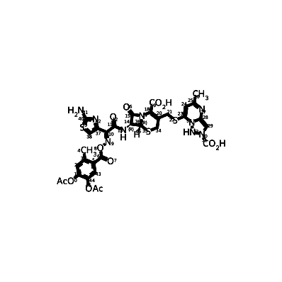 CC(=O)Oc1cc(C)c(C(=O)ON=C(C(=O)N[C@@H]2C(=O)N3C(C(=O)O)=C(CSC4=CC(C)=NC5=CN(C(=O)O)NN54)CS[C@H]23)c2csc(N)n2)cc1OC(C)=O